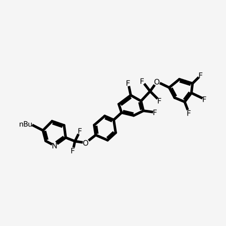 CCCCc1ccc(C(F)(F)Oc2ccc(-c3cc(F)c(C(F)(F)Oc4cc(F)c(F)c(F)c4)c(F)c3)cc2)nc1